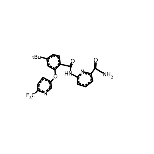 CC(C)(C)c1ccc(C(=O)Nc2cccc(C(N)=O)n2)c(Oc2ccc(C(F)(F)F)nc2)c1